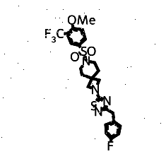 COc1ccc(S(=O)(=O)N2CCC3(CC2)CN(c2nc(Cc4ccc(F)cc4)ns2)C3)cc1C(F)(F)F